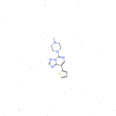 CN1CCN(c2ncc(-c3cccs3)c3ncnn23)CC1